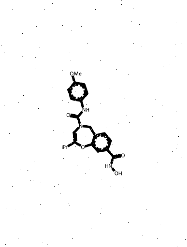 COc1ccc(NC(=O)N2C=C(C(C)C)Oc3cc(C(=O)NO)ccc3C2)cc1